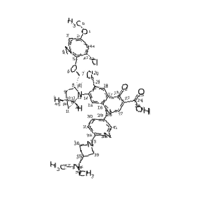 COc1cnc(OC[C@H]2C[C@H]3C[C@H]3N2c2cc3c(cc2Cl)c(=O)c(C(=O)O)cn3-c2ccc(N3CC(N(C)C)C3)nc2)c(Cl)c1